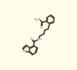 NC(=O)c1ccccc1CC[CH]CNC(=O)c1cccc2occc12